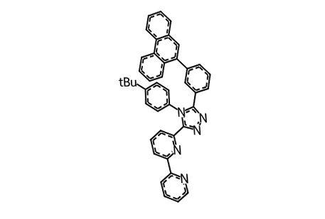 CC(C)(C)c1ccc(-n2c(-c3cccc(-c4cc5ccccc5c5ccccc45)c3)nnc2-c2cccc(-c3ccccn3)n2)cc1